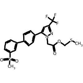 CSCOC(=O)Cn1nc(C(F)(F)F)cc1-c1ccc(-c2cccc(S(C)(=O)=O)c2)cc1